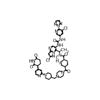 C[C@H](c1c(NC(=O)Nc2cnc(-n3nccn3)c(Cl)c2)cnc2cc(Cl)nn12)N(C)C(=O)C1CCC(C(=O)N2CCN(CC3CCN(c4cc(C5CCC(=O)NC5=O)ccn4)CC3)CC2)CC1